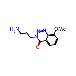 COc1cccc2c(=O)n(CCCN)nnc12